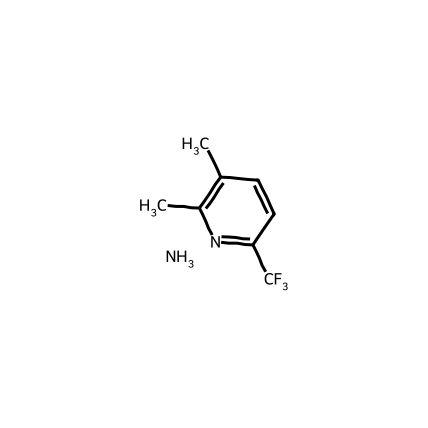 Cc1ccc(C(F)(F)F)nc1C.N